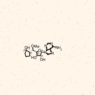 COC([C@H]1O[C@@H](n2cnc3c(N)ncnc32)[C@H](O)[C@@H]1O)[C@@H]1CCC[C@H]1O